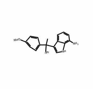 CCCC(C)(c1ccc(OC)cc1)c1c[nH]c2c(N)cccc12